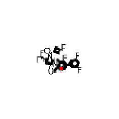 O=C1COC[C@@]2(C[C@@H](C(F)F)N(C(=O)[C@H]3C[C@@H](F)C3)[C@H]2Cc2cccc(-c3cc(F)cc(F)c3)c2F)N1